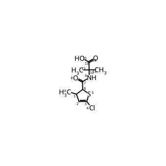 CC1C=C(Cl)SC1C(=O)NC(C)(C)C(=O)O